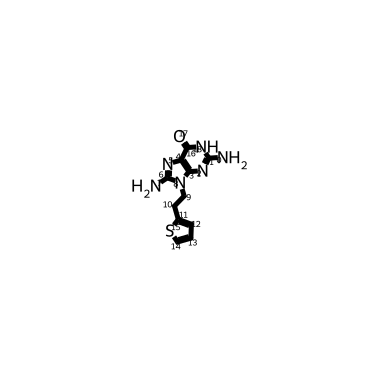 Nc1nc2c(nc(N)n2CCc2cccs2)c(=O)[nH]1